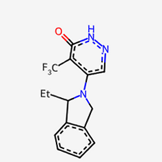 CCC1c2ccccc2CN1c1cn[nH]c(=O)c1C(F)(F)F